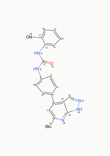 CC(C)(C)c1cc(-c2ccc(NC(=O)Nc3ccccc3N=O)cc2)c2cn[nH]c2n1